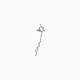 CCCCCCCCCCCCCC1NCC(C)OC1C